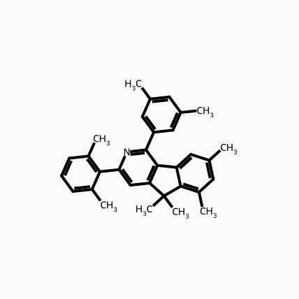 Cc1cc(C)cc(-c2nc(-c3c(C)cccc3C)cc3c2-c2cc(C)cc(C)c2C3(C)C)c1